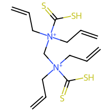 C=CC[N+](CC=C)(C[N+](CC=C)(CC=C)C(=S)S)C(=S)S